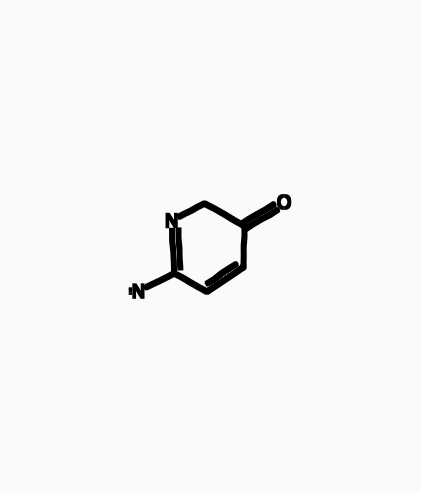 [N]C1=NCC(=O)C=C1